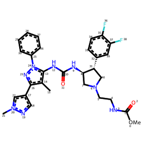 COC(=O)NCCN1C[C@@H](NC(=O)Nc2c(C)c(-c3cnn(C)c3)nn2-c2ccccc2)[C@H](c2ccc(F)c(F)c2)C1